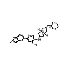 Cn1cc2cc(-c3cc(C#N)c(NC4C[C@@H]5CN(C[C@@H]6COCCO6)C[C@@H]5C4)nn3)ccc2n1